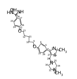 Cc1nc(-c2ccc(OCCCCCOc3ccc(C(=N)NO)cc3)cc2)c(CN2CCN(C)CC2)s1